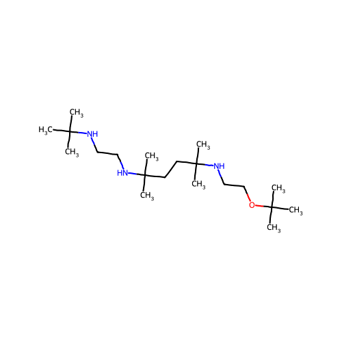 CC(C)(C)NCCNC(C)(C)CCC(C)(C)NCCOC(C)(C)C